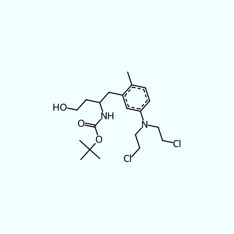 Cc1ccc(N(CCCl)CCCl)cc1CC(CCO)NC(=O)OC(C)(C)C